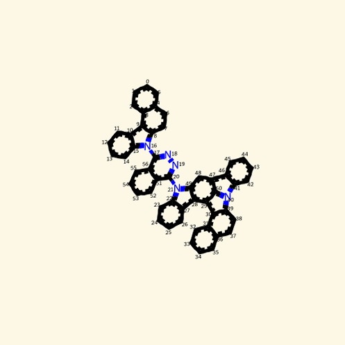 c1ccc2c(c1)ccc1c2c2ccccc2n1-c1nnc(-n2c3ccccc3c3c4c5c6ccccc6ccc5n5c6ccccc6c(cc32)c45)c2ccccc12